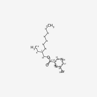 CCCCCCCC(CC)COC(=O)c1cncc(Br)n1